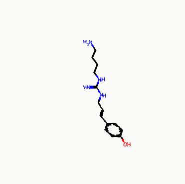 N=C(NC/C=C/c1ccc(O)cc1)NCCCCN